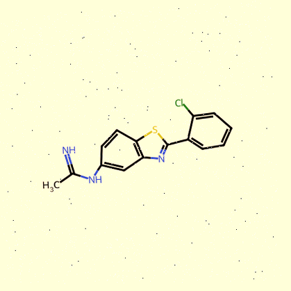 CC(=N)Nc1ccc2sc(-c3ccccc3Cl)nc2c1